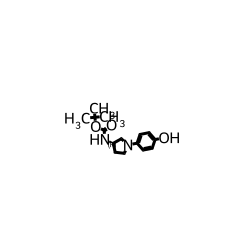 CC(C)(C)OC(=O)N[C@@H]1CCN(c2ccc(O)cc2)C1